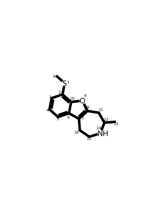 CSc1cccc2c3c(oc12)CC(C)NCC3